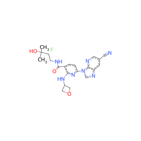 CC(C)(O)[C@H](F)CNC(=O)c1ccc(-n2cnc3cc(C#N)cnc32)nc1NC1COC1